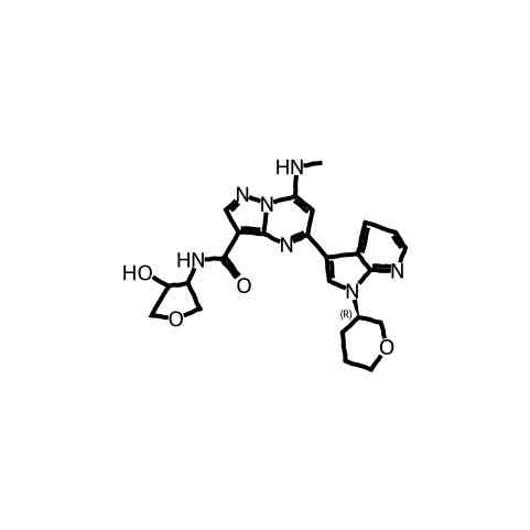 CNc1cc(-c2cn([C@@H]3CCCOC3)c3ncccc23)nc2c(C(=O)NC3COCC3O)cnn12